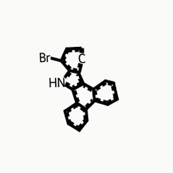 Brc1cccc2c1[nH]c1c3ccccc3c3ccccc3c21